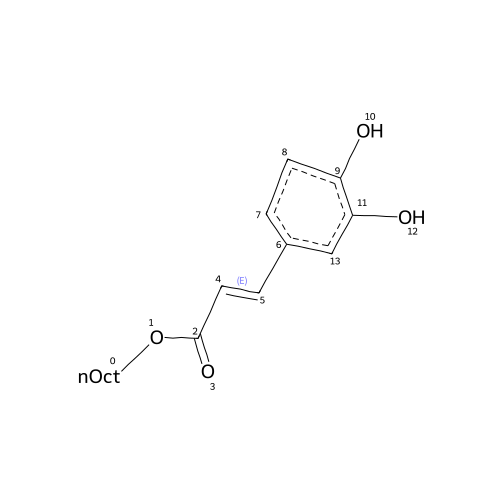 CCCCCCCCOC(=O)/C=C/c1ccc(O)c(O)c1